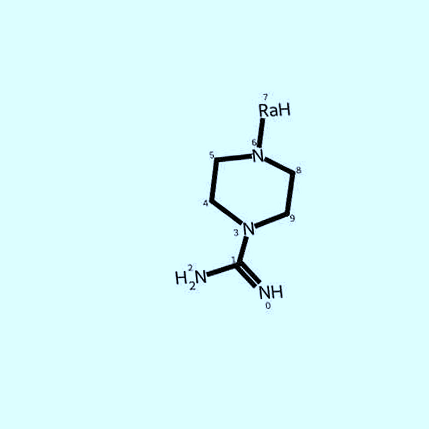 N=C(N)N1CC[N]([RaH])CC1